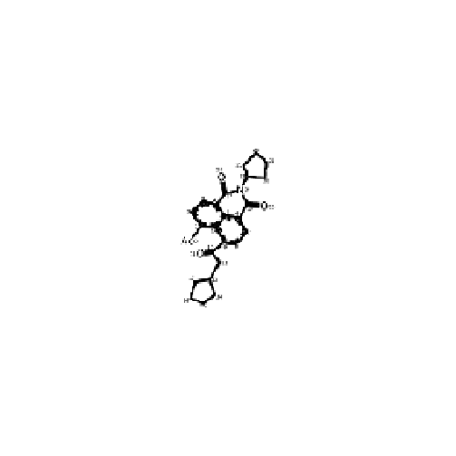 CC(=O)c1ccc2c3c(ccc(C(=O)CC4CCCC4)c13)C(=O)N(C1CCCC1)C2=O